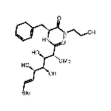 CO[C@@H](C(=O)N[C@@H](CC1=CC=CCC1)C(=O)NCCO)[C@H](O)[C@@H](O)[C@H](O)/C=C/C(C)(C)C